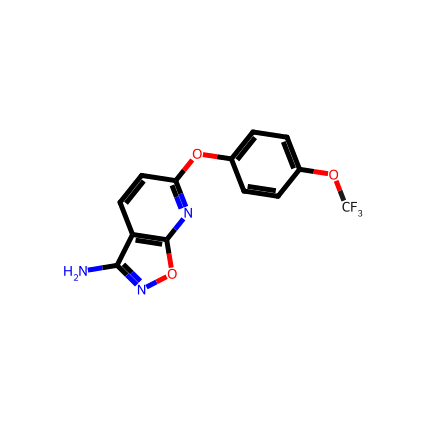 Nc1noc2nc(Oc3ccc(OC(F)(F)F)cc3)ccc12